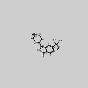 FC(F)(F)c1ccc2c(c1)N(C1CCNCC1)[CH]N2